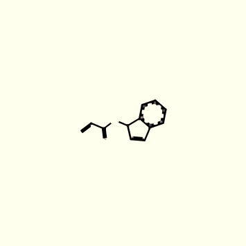 C=CC(=O)OC1C=Cc2ccccc21